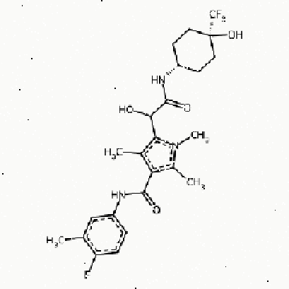 Cc1cc(NC(=O)c2c(C)c(C(O)C(=O)N[C@H]3CC[C@@](O)(C(F)(F)F)CC3)n(C)c2C)ccc1F